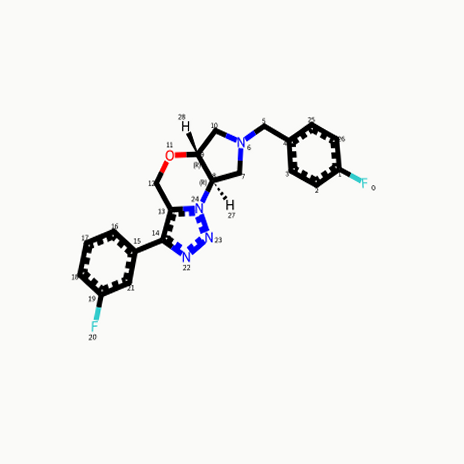 Fc1ccc(CN2C[C@@H]3[C@@H](C2)OCc2c(-c4cccc(F)c4)nnn23)cc1